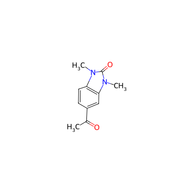 CC(=O)c1ccc2c(c1)n(C)c(=O)n2C